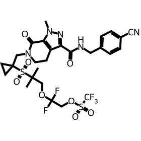 Cn1nc(C(=O)NCc2ccc(C#N)cc2)c2c1C(=O)N(CC1(S(=O)(=O)C(C)(C)COC(F)(F)COS(=O)(=O)C(F)(F)F)CC1)CC2